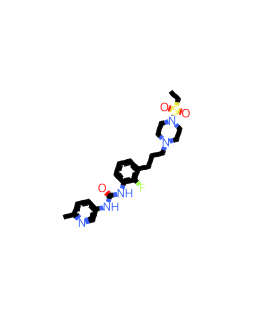 CCS(=O)(=O)N1CCN(CCCc2cccc(NC(=O)Nc3ccc(C)nc3)c2F)CC1